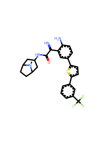 CN1C2CCC1CC(NC(=O)C(=N)c1cc(-c3ccc(-c4cccc(C(F)(F)F)c4)s3)ccc1N)C2